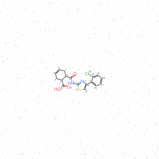 O=C(O)C1CC=CCC1C(=O)Nc1nc(-c2ccccc2Cl)cs1